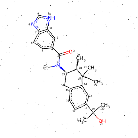 CCN(C(=O)c1ccc2nc[nH]c2c1)[C@@H]1Cc2ccc(C(C)(C)O)cc2C(C)(C)[C@@H]1C